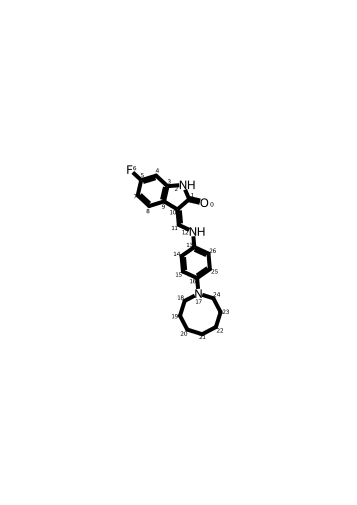 O=C1Nc2cc(F)ccc2C1=CNc1ccc(N2CCCCCCC2)cc1